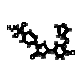 NS(=O)(=O)c1ccc(N2C[C@@H](c3ccc(Cl)c(Oc4ccsc4)c3)CC2=O)cc1